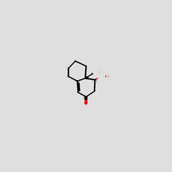 CC12CCCCC1=CC(=O)CC2O